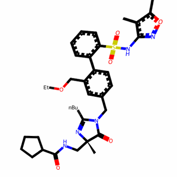 CCCCC1=N[C@@](C)(CNC(=O)C2CCCC2)C(=O)N1Cc1ccc(-c2ccccc2S(=O)(=O)Nc2noc(C)c2C)c(COCC)c1